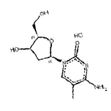 Cc1cn([C@H]2CC(O)[C@@H](CO)O2)c(=O)nc1N.Cl